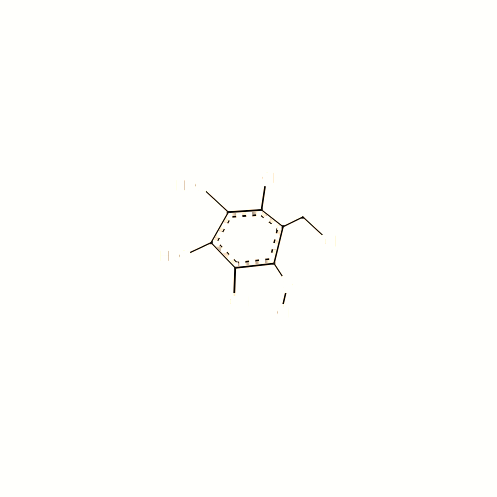 COc1c(C)c(C)c(C)c(C)c1CCl